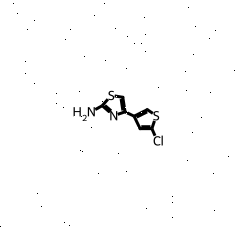 Nc1nc(-c2csc(Cl)c2)cs1